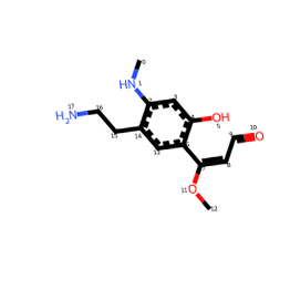 CNc1cc(O)c(/C(=C\C=O)OC)cc1CCN